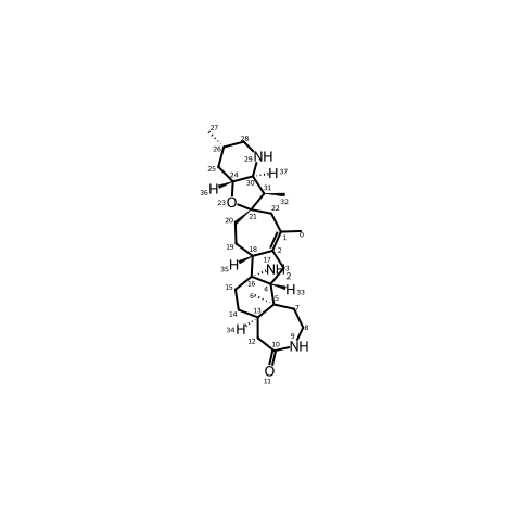 CC1=C2C[C@@H]3[C@@]4(C)CCNC(=O)C[C@H]4CC[C@@]3(N)[C@@H]2CC[C@@]2(C1)O[C@@H]1C[C@H](C)CN[C@H]1[C@H]2C